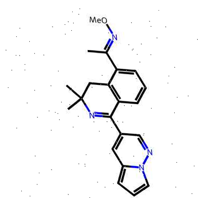 CO/N=C(\C)c1cccc2c1CC(C)(C)N=C2c1cnn2cccc2c1